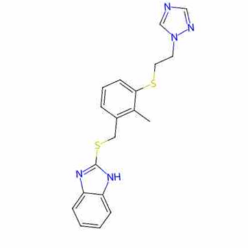 Cc1c(CSc2nc3ccccc3[nH]2)cccc1SCCn1cncn1